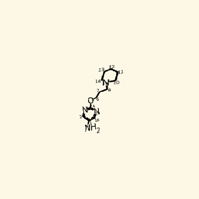 Nc1cnc(OCCCN2CCCCC2)nc1